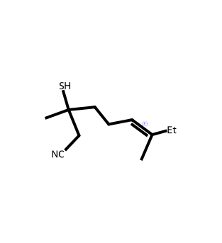 CC/C(C)=C/CCC(C)(S)CC#N